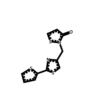 O=c1ccsn1Cc1csc(-c2cccs2)n1